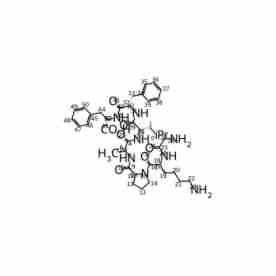 CC(C)C[C@H](NC(=O)[C@H](C)NC(=O)[C@@H]1CCCN1C(=O)[C@H](CCCCN)NC(=O)CN)C(=O)N[C@@H](Cc1ccccc1)C(=O)N[C@@H](Cc1ccccc1)C(=O)O